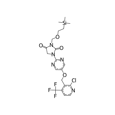 C[Si](C)(C)CCOCN1C(=O)CN(c2ncc(OCc3c(C(F)(F)F)ccnc3Cl)cn2)C1=O